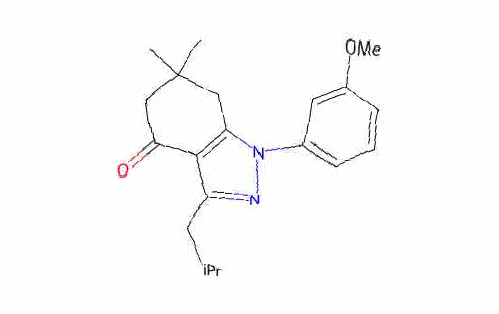 COc1cccc(-n2nc(CC(C)C)c3c2CC(C)(C)CC3=O)c1